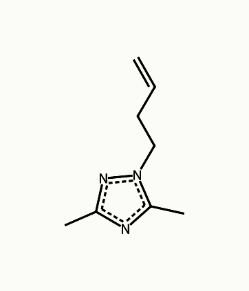 C=CCCn1nc(C)nc1C